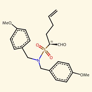 C=CCC[C@@H](C=O)S(=O)(=O)N(Cc1ccc(OC)cc1)Cc1ccc(OC)cc1